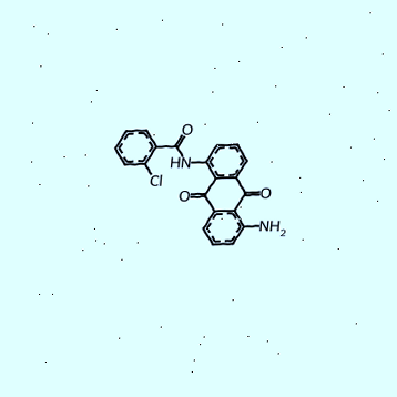 Nc1cccc2c1C(=O)c1cccc(NC(=O)c3ccccc3Cl)c1C2=O